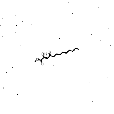 CCCCCCCCCC(=O)/C=C(\O)C(=O)OC